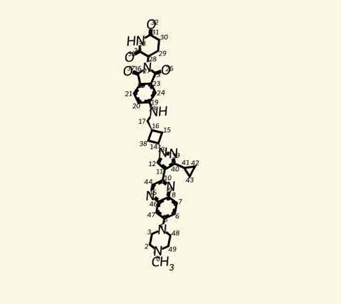 CN1CCN(c2ccc3nc(-c4cn([C@H]5C[C@H](CNc6ccc7c(c6)C(=O)N(C6CCC(=O)NC6=O)C7=O)C5)nc4C4CC4)cnc3c2)CC1